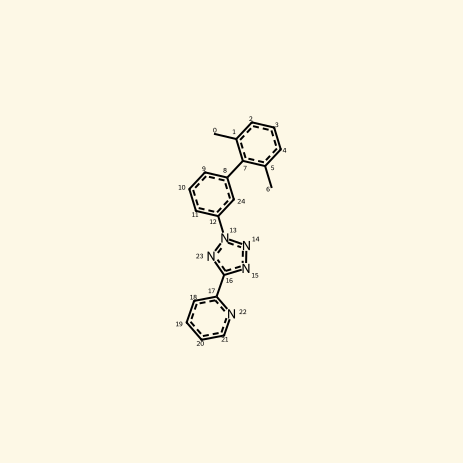 Cc1cccc(C)c1-c1cccc(-n2nnc(-c3ccccn3)n2)c1